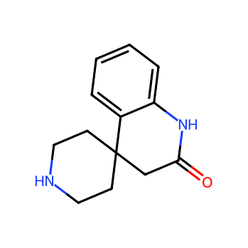 O=C1CC2(CCNCC2)c2ccccc2N1